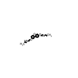 CCCNCCOc1ccc2c(c1)oc1ccc(OCCNCCC)cc12